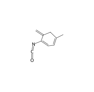 C=C1CC(C)=CC=C1N=C=O